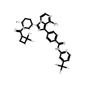 C[C@@H]1CC[C@H](c2nc(-c3ccc(C(=O)Nc4cc(C(F)(F)F)ccn4)cc3)c3c(N)nccn23)CN1C(=O)C1CCC1(F)F